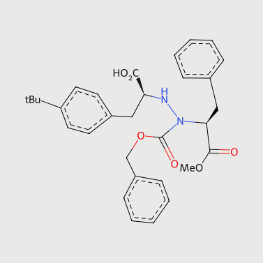 COC(=O)[C@H](Cc1ccccc1)N(N[C@@H](Cc1ccc(C(C)(C)C)cc1)C(=O)O)C(=O)OCc1ccccc1